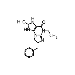 CCN1C(=O)C2=C(NC(C)N2)N2C[C@@H](Cc3ccccc3)N=C12